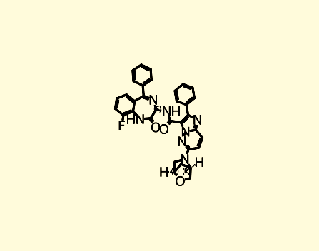 O=C(N[C@H]1N=C(c2ccccc2)c2cccc(F)c2NC1=O)c1c(-c2ccccc2)nc2ccc(N3C[C@H]4C[C@@H]3CO4)nn12